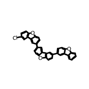 Clc1ccc2oc3ccc(-c4ccc5oc6ccc(-c7ccc8oc9ccccc9c8c7)cc6c5c4)cc3c2c1